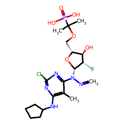 C=NN(c1nc(Cl)nc(NC2CCCC2)c1C)[C@@H]1O[C@H](COC(C)(C)P(=O)(O)O)[C@@H](O)[C@@H]1F